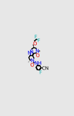 C[C@@H]1Cc2nn3c(c2CN1C(=O)Nc1ccc(F)c(C#N)c1)C(=O)N(C)C[C@H](COCC(F)F)C3